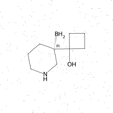 B[C@@]1(C2(O)CCC2)CCCNC1